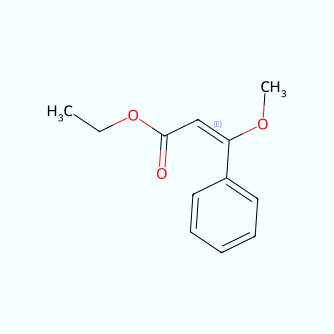 CCOC(=O)/C=C(/OC)c1ccccc1